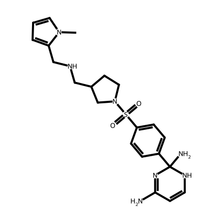 Cn1cccc1CNCC1CCN(S(=O)(=O)c2ccc(C3(N)N=C(N)C=CN3)cc2)C1